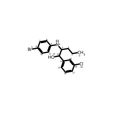 CCCC(Nc1ccc(Br)cc1)C(O)c1cccc(Cl)c1